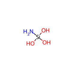 N[Si](O)(O)O